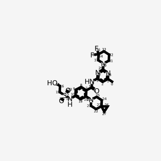 Cc1cc(NC(=O)c2ccc(NS(=O)(=O)CCO)cc2N2CCC3(CC2)CC3)nc(N2CCCC(F)(F)C2)n1